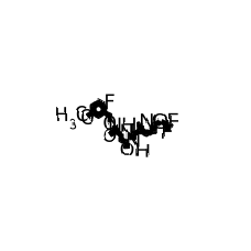 COc1ccc(F)c(CONC(=O)c2cc(O)nc(-c3ccc(OC(F)F)nc3)n2)c1